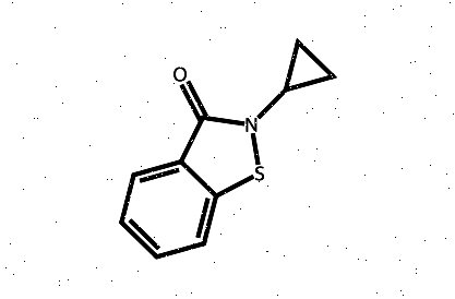 O=c1c2ccccc2sn1C1CC1